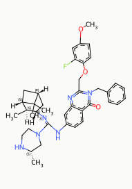 COc1ccc(OCc2nc3cc(NC(=N[C@H]4C[C@H]5C[C@@H]([C@@H]4C)C5(C)C)N4CCN[C@@H](C)C4)ccc3c(=O)n2Cc2ccccc2)c(F)c1